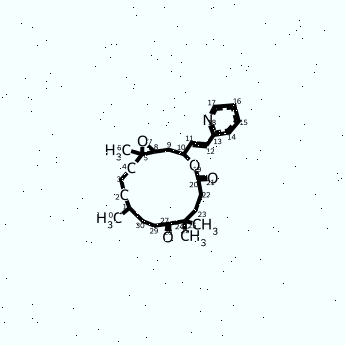 CC1CCCC2(C)OC2CC(/C=C/c2ccccn2)OC(=O)CCC(C)(C)C(=O)CC1